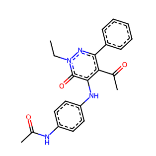 CCn1nc(-c2ccccc2)c(C(C)=O)c(Nc2ccc(NC(C)=O)cc2)c1=O